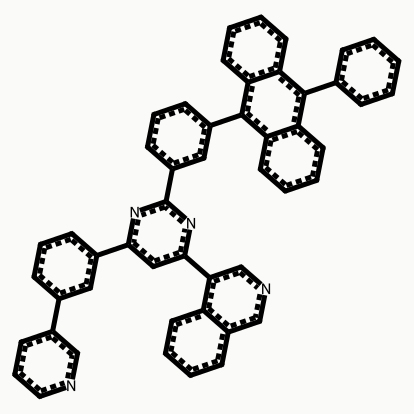 c1ccc(-c2c3ccccc3c(-c3cccc(-c4nc(-c5cccc(-c6cccnc6)c5)cc(-c5cncc6ccccc56)n4)c3)c3ccccc23)cc1